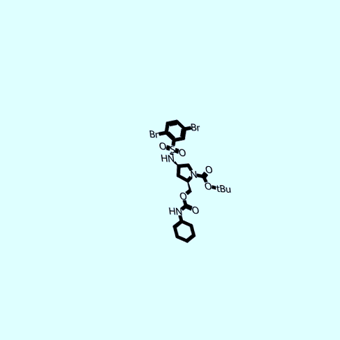 CC(C)(C)OC(=O)N1C[C@H](NS(=O)(=O)c2cc(Br)ccc2Br)C[C@@H]1COC(=O)NC1CCCCC1